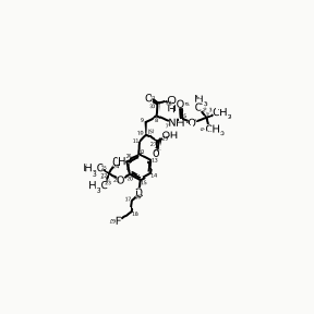 CC(C)(C)OC(=O)NC(C[C@H](Cc1ccc(OCCF)c(OC(C)(C)C)c1)C(=O)O)C(=O)O